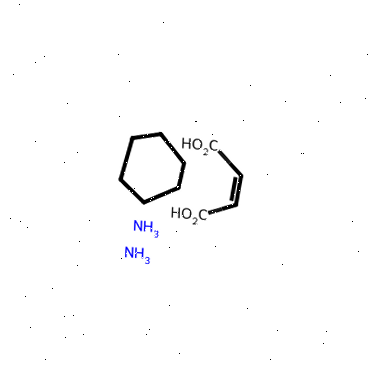 C1CCCCC1.N.N.O=C(O)/C=C\C(=O)O